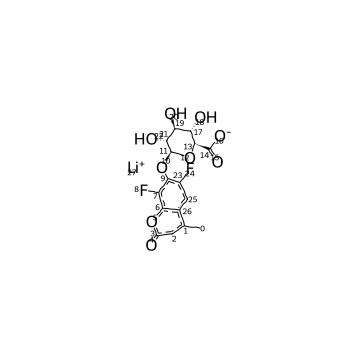 Cc1cc(=O)oc2c(F)c(O[C@@H]3O[C@H](C(=O)[O-])[C@@H](O)[C@H](O)[C@H]3O)c(F)cc12.[Li+]